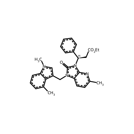 CCOC(=O)C[C@H](c1ccccc1)n1c(=O)n(Cc2cn(C)c3cccc(C)c23)c2ccc(C)nc21